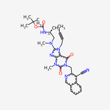 CC#CCn1c(N(C)C[C@H](C)NC(=O)OC(C)(C)C)nc2c1c(=O)n(Cc1ncc3ccccc3c1C#N)c(=O)n2C